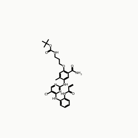 C=CC(=O)Nc1ccccc1Nc1nc(Nc2cc(C(N)=O)c(OCCCNC(=O)OC(C)(C)C)cc2C)ncc1Cl